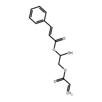 C=CC(=O)OCC(O)OC(=O)/C=C/c1ccccc1